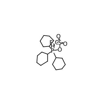 O=S(=O)(O[PH](C1CCCCC1)(C1CCCCC1)C1CCCCC1)C(F)(F)F